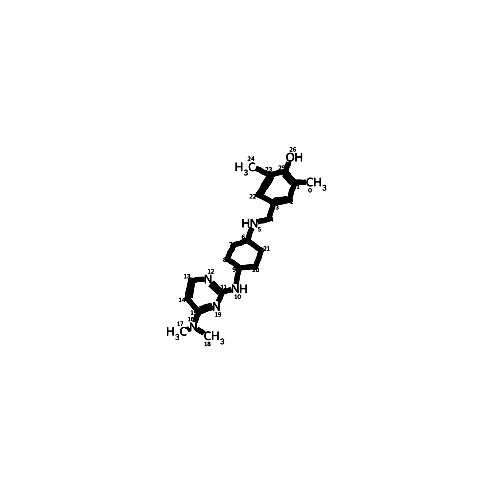 Cc1cc(CNC2CCC(Nc3nccc(N(C)C)n3)CC2)cc(C)c1O